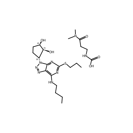 CCCCNc1nc(SCCC)nc2c1nnn2[C@@H]1CC[C@@H](O)[C@H]1O.CN(C)C(=O)CCNC(=O)O